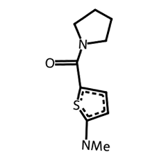 CNc1ccc(C(=O)N2CCCC2)s1